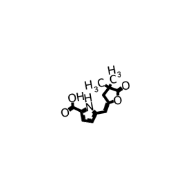 CC1(C)C/C(=C\c2ccc(C(=O)O)[nH]2)OC1=O